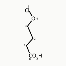 O=C(O)CCCOCl